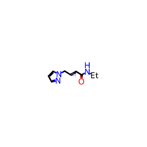 CCNC(=O)/C=C/Cn1cccn1